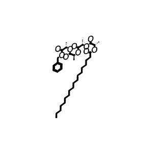 CCCCCCCCCCCCCCCCCC(=O)O[C@@H](C)C(=O)O[C@@H](C)C(=O)O[C@@H](C)C(=O)O[C@@H](C)C(=O)OCc1ccccc1